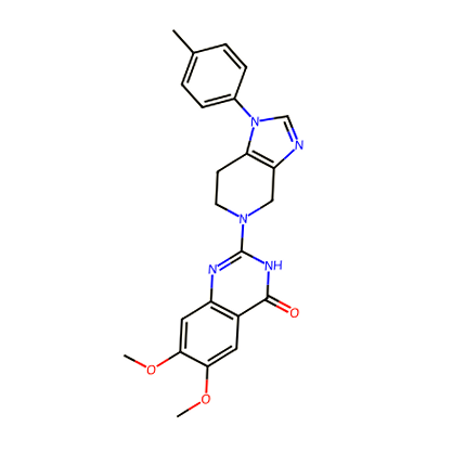 COc1cc2nc(N3CCc4c(ncn4-c4ccc(C)cc4)C3)[nH]c(=O)c2cc1OC